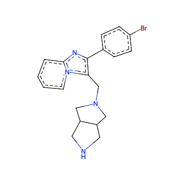 Brc1ccc(-c2nc3ccccn3c2CN2CC3CNCC3C2)cc1